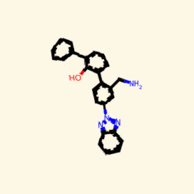 NCc1cc(-n2nc3ccccc3n2)ccc1-c1cccc(-c2ccccc2)c1O